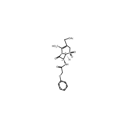 CC(=O)OCC1=C(C(=O)O)N2C(=O)[C@H](NC(=O)COc3ccccc3)[C@@H]2S(=O)(=O)C1